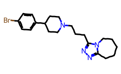 Brc1ccc(C2CCN(CCCc3nnc4n3CCCCC4)CC2)cc1